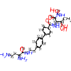 C[C@@H](O)[C@H](NC(=O)c1ccc(-c2ccc(CCNC(=O)[C@@H](N)CCN)cc2)cc1)C(=O)NO